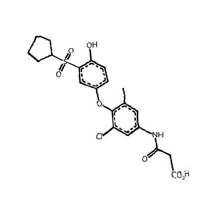 Cc1cc(NC(=O)CC(=O)O)cc(Cl)c1Oc1ccc(O)c(S(=O)(=O)C2CCCC2)c1